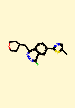 Cc1cnc(-c2ccc3c(CC4CCOCC4)nnc(Cl)c3c2)s1